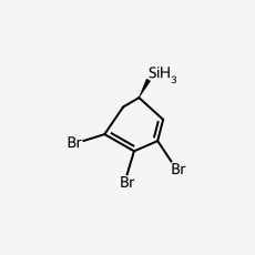 [SiH3][C@H]1C=C(Br)C(Br)=C(Br)C1